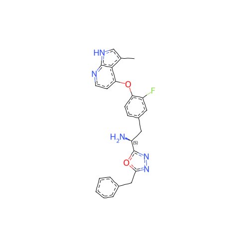 Cc1c[nH]c2nccc(Oc3ccc(C[C@H](N)c4nnc(Cc5ccccc5)o4)cc3F)c12